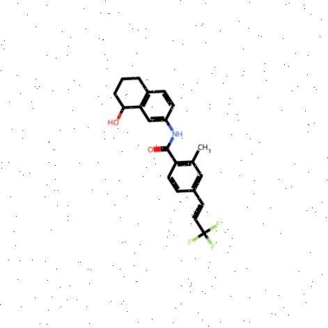 Cc1cc(C=CC(F)(F)F)ccc1C(=O)Nc1ccc2c(c1)C(O)CCC2